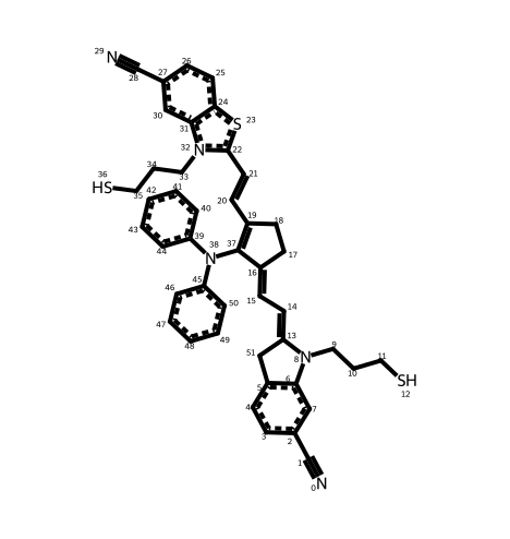 N#Cc1ccc2c(c1)N(CCCS)/C(=C/C=C1\CCC(/C=C/c3sc4ccc(C#N)cc4[n+]3CCCS)=C1N(c1ccccc1)c1ccccc1)C2